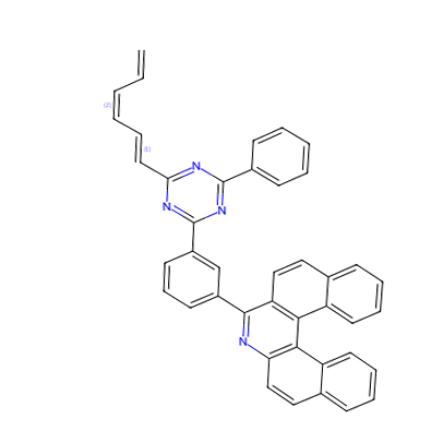 C=C/C=C\C=C\c1nc(-c2ccccc2)nc(-c2cccc(-c3nc4ccc5ccccc5c4c4c3ccc3ccccc34)c2)n1